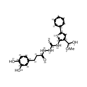 COC(O)c1cc(-c2ccccc2)sc1NC(=S)NNC(=O)CCc1ccc(O)c(O)c1